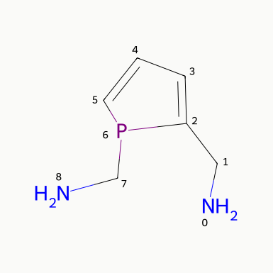 NCc1cccp1CN